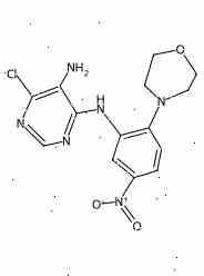 Nc1c(Cl)ncnc1Nc1cc([N+](=O)[O-])ccc1N1CCOCC1